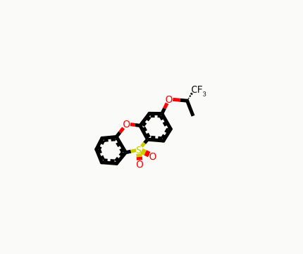 C[C@H](Oc1ccc2c(c1)Oc1ccccc1S2(=O)=O)C(F)(F)F